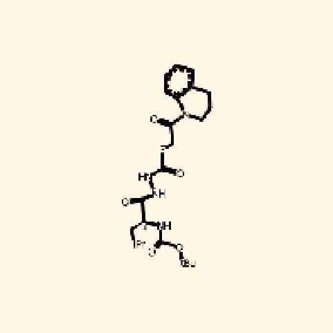 CC(C)C[C@H](NC(=O)OC(C)(C)C)C(=O)NNC(=O)SCC(=O)N1CCCc2ccccc21